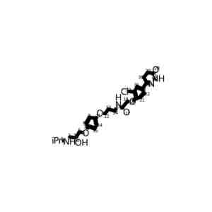 CC(C)NCC(O)COc1ccc(OCCCNC(=O)COc2ccc(C3=NNC(=O)CC3)cc2Cl)cc1